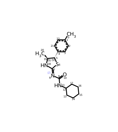 Cc1ccc([C@@H]2S/C(=N\C(=O)NC3CCCCC3)N[C@H]2C)cc1